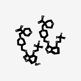 O=C([O-])C1(CN2CCC(COc3noc4cccc(OCC(F)(F)F)c34)CC2)CCOCC1.O=C([O-])C1(CN2CCC(COc3noc4cccc(OCC(F)(F)F)c34)CC2)CCOCC1.[Zn+2]